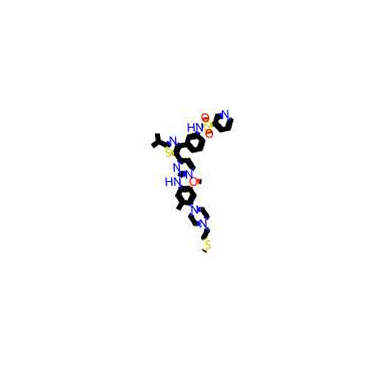 COc1cc(N2CCN(CCSC)CC2)c(C)cc1Nc1nccc(-c2sc(C(C)C)nc2-c2cccc(NS(=O)(=O)c3cccnc3)c2)n1